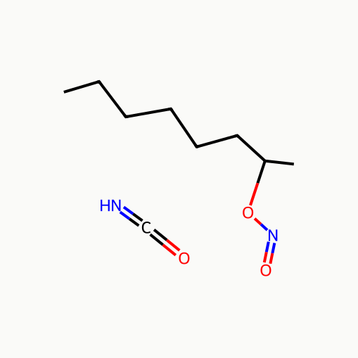 CCCCCCC(C)ON=O.N=C=O